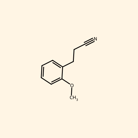 COc1ccccc1CCC#N